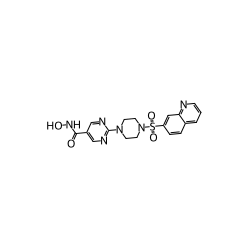 O=C(NO)c1cnc(N2CCN(S(=O)(=O)c3ccc4cccnc4c3)CC2)nc1